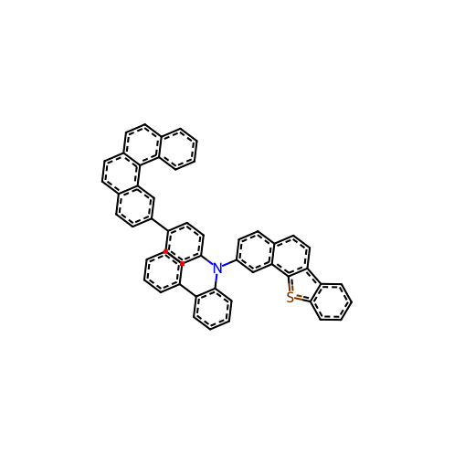 c1ccc(-c2ccccc2N(c2ccc(-c3ccc4ccc5ccc6ccccc6c5c4c3)cc2)c2ccc3ccc4c5ccccc5sc4c3c2)cc1